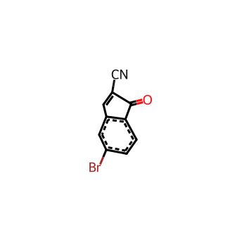 N#CC1=Cc2cc(Br)ccc2C1=O